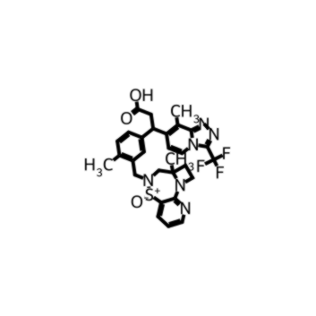 Cc1ccc(C(CC(=O)O)c2ccn3c(C(F)(F)F)nnc3c2C)cc1CN1CC2(C)CCN2c2ncccc2[S+]1[O-]